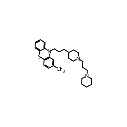 FC(F)(F)c1ccc2c(c1)N(CCCC1CCN(CCCN3CCCCC3)CC1)c1ccccc1S2